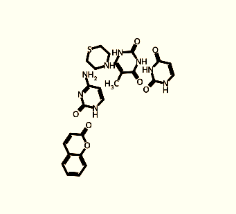 C1CSCCN1.Cc1c[nH]c(=O)[nH]c1=O.Nc1cc[nH]c(=O)n1.O=c1cc[nH]c(=O)[nH]1.O=c1ccc2ccccc2o1